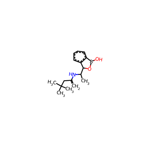 C=C(CC(C)(C)C)NC(C)C1OB(O)c2ccccc21